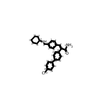 NC(=O)/C(=C/c1ccc(CNC2CCCCC2)cc1)c1ccc(-c2ccc(Cl)cc2)cc1